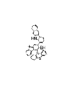 CC1(C)c2ccccc2-c2c1cc(C1=CC=CC3c4cc5c(cc4NC13)CCC#C5)c1c2N2C3=C(C=CCC3)Sc3cccc(c32)B1